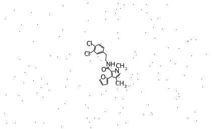 Cc1cn(C)c(C(=O)NCCc2ccc(Cl)c(Cl)c2)c1-c1ccco1